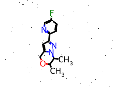 CC1OCc2cc(-c3ccc(F)cn3)nn2C1C